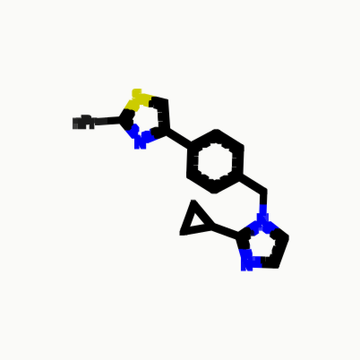 CCCc1nc(-c2ccc(Cn3ccnc3C3CC3)cc2)cs1